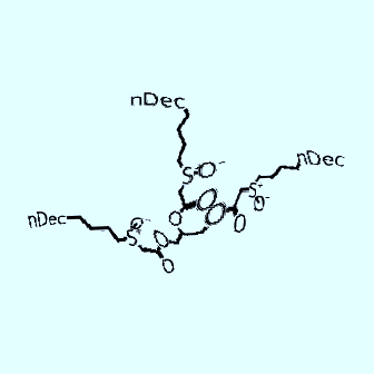 CCCCCCCCCCCCCC[S+]([O-])CC(=O)OCC(COC(=O)C[S+]([O-])CCCCCCCCCCCCCC)OC(=O)C[S+]([O-])CCCCCCCCCCCCCC